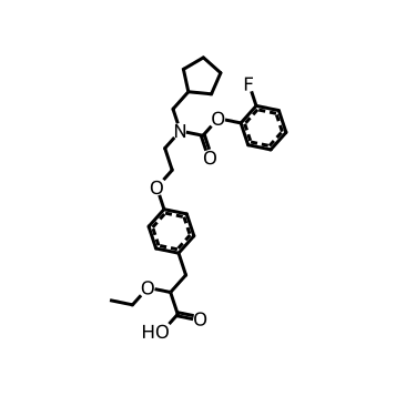 CCOC(Cc1ccc(OCCN(CC2CCCC2)C(=O)Oc2ccccc2F)cc1)C(=O)O